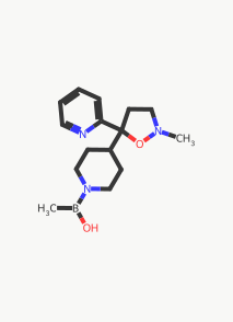 CB(O)N1CCC(C2(c3ccccn3)CCN(C)O2)CC1